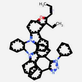 C=Cc1c(/C=C\C)oc2ccc3c(c4ccccc4n3-c3ccccc3-n3c4ccccc4c4c(-c5c(-c6ccccc6)nnn5-c5ccccc5)cccc43)c12